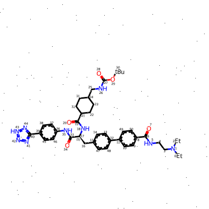 CCN(CC)CCNC(=O)c1ccc(-c2ccc(C[C@H](NC(=O)C3CCC(CNC(=O)OC(C)(C)C)CC3)C(=O)Nc3ccc(-c4nn[nH]n4)cc3)cc2)cc1